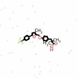 Cc1cc(-c2ccc(C(F)(F)F)cc2)oc1COc1ccc(CC(C)(C)C(=O)O)cc1